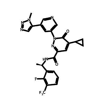 C[C@@H](NC(=O)c1cc(C2CC2)c(=O)n(-c2cncc(-c3cnnn3C)c2)n1)c1cccc(C(F)(F)F)c1F